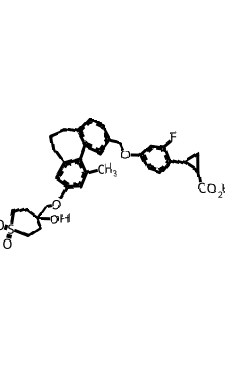 Cc1cc(OCC2(O)CCS(=O)(=O)CC2)cc2c1-c1cc(COc3ccc(C4CC4C(=O)O)c(F)c3)ccc1CCC2